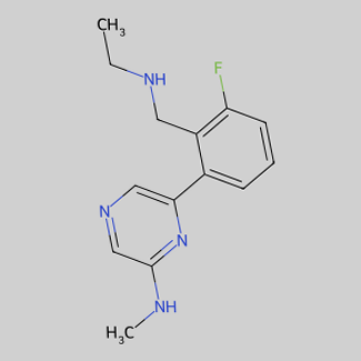 CCNCc1c(F)cccc1-c1cncc(NC)n1